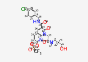 CN(CC(C)(C)CO)C(=O)Cn1c(=O)c(C(=O)NCc2ccc(Cl)cc2)cc2ccc(OS(=O)(=O)C(F)(F)F)nc21